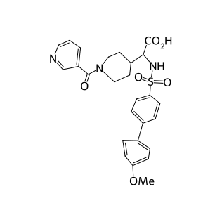 COc1ccc(-c2ccc(S(=O)(=O)NC(C(=O)O)C3CCN(C(=O)c4cccnc4)CC3)cc2)cc1